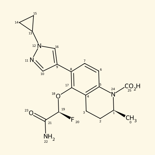 C[C@H]1CCc2c(ccc(-c3cnn(C4CC4)c3)c2O[C@@H](F)C(N)=O)N1C(=O)O